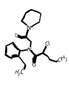 CCc1ccccc1N(CC(=O)N1CCCCC1)C(=O)C(Cl)CC